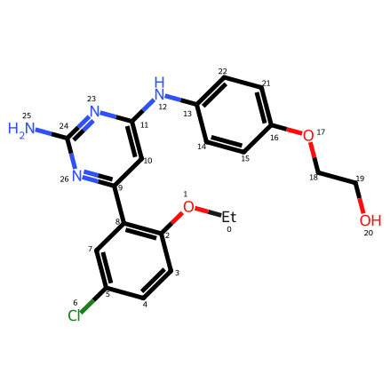 CCOc1ccc(Cl)cc1-c1cc(Nc2ccc(OCCO)cc2)nc(N)n1